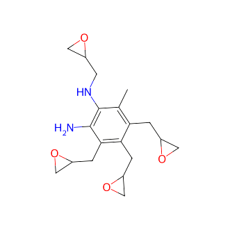 Cc1c(CC2CO2)c(CC2CO2)c(CC2CO2)c(N)c1NCC1CO1